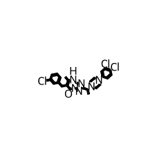 Cc1[nH]c2nc(C(C)N3CCN(c4ccc(Cl)c(Cl)c4)CC3)nn2c(=O)c1Cc1cccc(Cl)c1